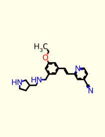 CCOc1cc(/C=C/c2cc(C#N)ccn2)cc(CNCC2CCNC2)c1